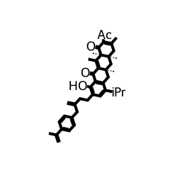 C=C(CCc1cc(C(C)C)c2c(c1O)C(=O)C1=C(C)[C@@]3(C)C(=O)C(C(C)=O)=C(C)C[C@@]3(C)C[C@@]1(C)C2)Cc1ccc(C(=C)C)cc1